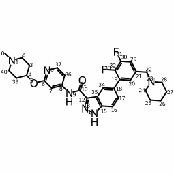 CN1CCC(Oc2cc(NC(=O)c3n[nH]c4ccc(-c5cc(CN6CCCCC6)cc(F)c5F)cc34)ccn2)CC1